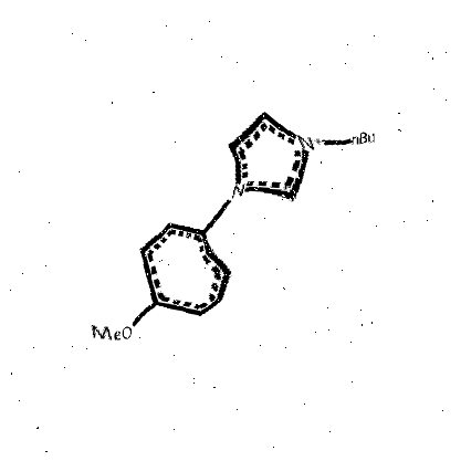 CCCC[n+]1ccn(-c2ccc(OC)cc2)c1